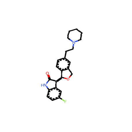 O=C1Nc2ccc(F)cc2C1=C1OCc2cc(CCN3CCCCC3)ccc21